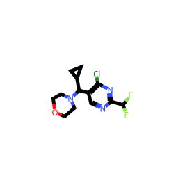 FC(F)c1ncc(C(C2CC2)N2CCOCC2)c(Cl)n1